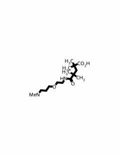 CNCCCOCCNC(=O)C(C)(C)CC(C)(C)C(=O)O